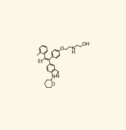 CC/C(=C(/c1ccc(OCCNCCO)cc1)c1ccc2c(cnn2C2CCCCO2)c1)c1ccccc1C